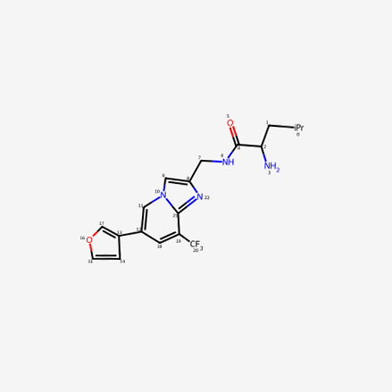 CC(C)CC(N)C(=O)NCc1cn2cc(-c3ccoc3)cc(C(F)(F)F)c2n1